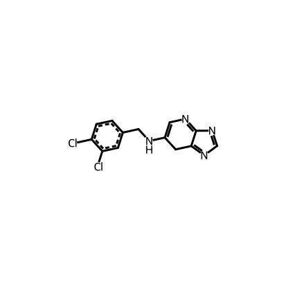 Clc1ccc(CNC2=CN=C3N=CN=C3C2)cc1Cl